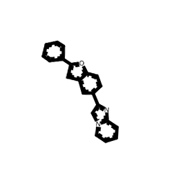 c1ccc(-c2cc3cc(-c4cn5ccccc5n4)ccc3o2)cc1